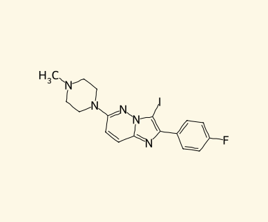 CN1CCN(c2ccc3nc(-c4ccc(F)cc4)c(I)n3n2)CC1